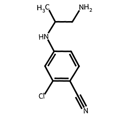 CC(CN)Nc1ccc(C#N)c(Cl)c1